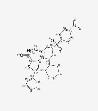 CC(C)c1ccc(S(=O)(=O)N2CC(=O)N(c3cc(-c4ccccc4)sc3C(=O)O)C(C3CCCCC3)C2)cc1